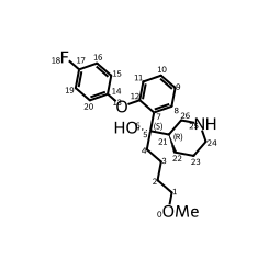 COCCCC[C@@](O)(c1ccccc1Oc1ccc(F)cc1)[C@@H]1CCCNC1